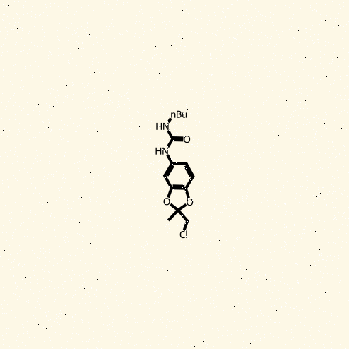 CCCCNC(=O)Nc1ccc2c(c1)OC(C)(CCl)O2